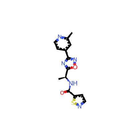 Cc1cc(-c2noc([C@H](C)NC(=O)c3ccns3)n2)ccn1